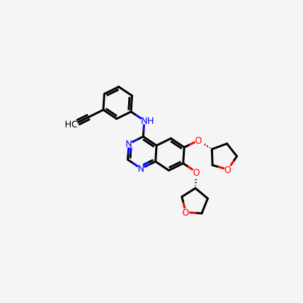 C#Cc1cccc(Nc2ncnc3cc(O[C@@H]4CCOC4)c(O[C@@H]4CCOC4)cc23)c1